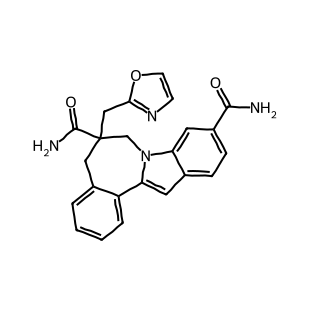 NC(=O)c1ccc2cc3n(c2c1)CC(Cc1ncco1)(C(N)=O)Cc1ccccc1-3